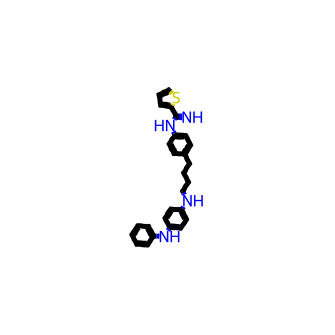 N=C(Nc1ccc(CCCCNc2ccc(Nc3ccccc3)cc2)cc1)c1cccs1